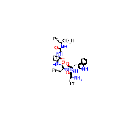 CC(C)C[C@H](NC(=O)CNC(=O)[C@H](CC(C)C)NC(=O)[C@H](CC(C)C)NC(=O)[C@H](Cc1c[nH]c2ccccc12)NC(=O)[C@@H](N)CC(C)C)C(=O)O